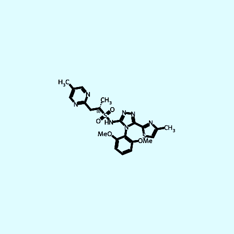 COc1cccc(OC)c1-n1c(NS(=O)(=O)[C@@H](C)Cc2ncc(C)cn2)nnc1-c1nc(C)cs1